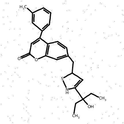 CCC(O)(CC)C1=CC(Cc2ccc3c(-c4cccc(C)c4)cc(=O)oc3c2)SN1